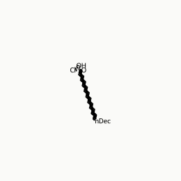 CCCCCCCCCCCCCCCCCCCCCCCCCCCC(=O)N(O)Cl